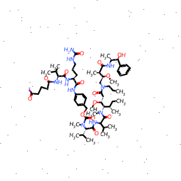 CCCN(C[C@H](OC)[C@@H](C)C(=O)N[C@H](C)[C@@H](O)c1ccccc1)C(=O)C[C@@H](OC)[C@H]([C@@H](C)CC)N(C)C(=O)C(NC(=O)[C@H](C(C)C)N(C)C(=O)OCc1ccc(NC(=O)[C@H](CCCNC(N)=O)NC(=O)[C@@H](NC(=O)CCCC(=O)I)C(C)C)cc1)C(C)C